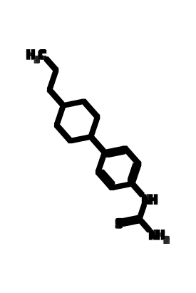 CCCC1CCC(c2ccc(NC(N)=S)cc2)CC1